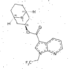 CN1[C@@H]2CCC[C@H]1C[C@@H](OC(=O)c1cn(CC(F)(F)F)c3ncccc13)C2